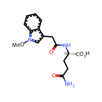 COn1cc(CC(=O)N[C@@H](CCC(N)=O)C(=O)O)c2ccccc21